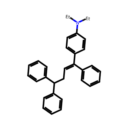 CCN(CC)c1ccc(C(=CCC(c2ccccc2)c2ccccc2)c2ccccc2)cc1